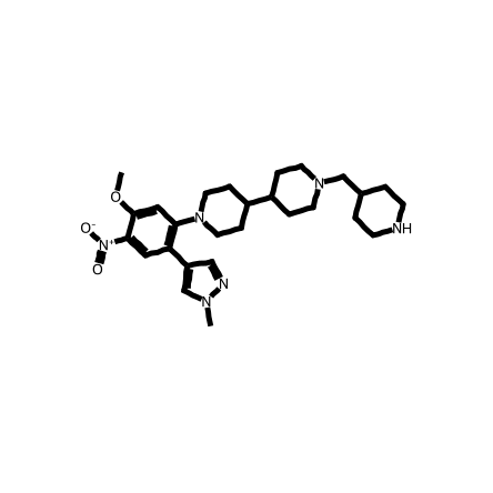 COc1cc(N2CCC(C3CCN(CC4CCNCC4)CC3)CC2)c(-c2cnn(C)c2)cc1[N+](=O)[O-]